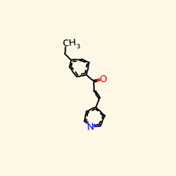 CCc1ccc(C(=O)C=Cc2ccncc2)cc1